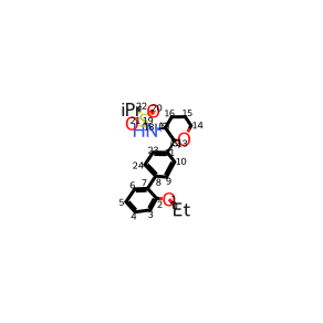 CCOc1ccccc1-c1ccc([C@@H]2OCCC[C@@H]2NS(=O)(=O)C(C)C)cc1